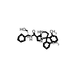 Cc1ccccc1C1(c2ccccc2C)CCNc2c(C(=O)N[C@@H](CO)c3ccccc3)cnn21